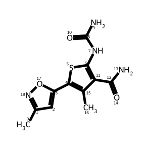 Cc1cc(-c2sc(NC(N)=O)c(C(N)=O)c2C)on1